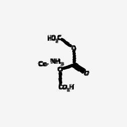 N.O=C(O)OC(=O)OC(=O)O.[Co]